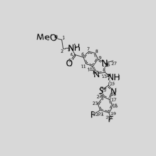 COCCNC(=O)c1ccc2c(c1)nc(Nc1nc3cc(F)c(F)cc3s1)n2C